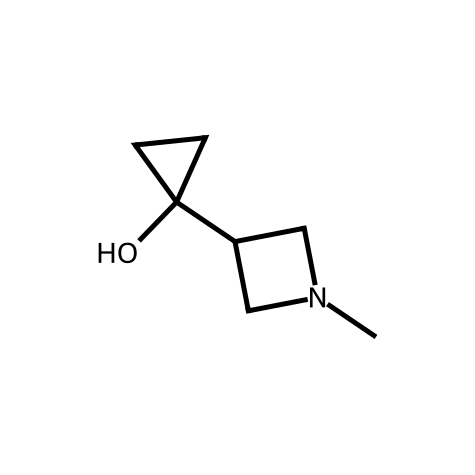 CN1CC(C2(O)CC2)C1